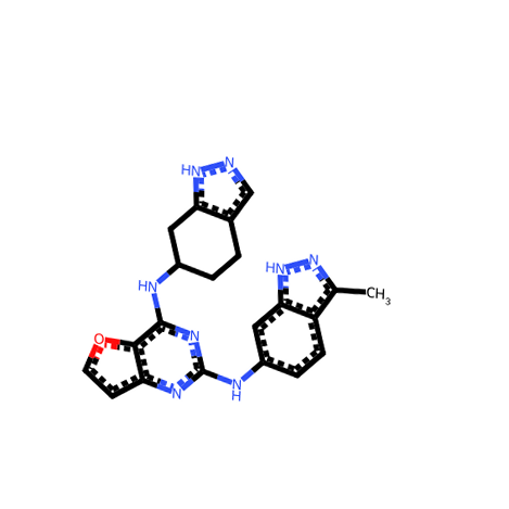 Cc1n[nH]c2cc(Nc3nc(NC4CCc5cn[nH]c5C4)c4occc4n3)ccc12